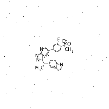 CCP(C)(=O)c1ccc(-c2cnc3nnc(C(C)c4ccc5nccn5c4)n3n2)cc1F